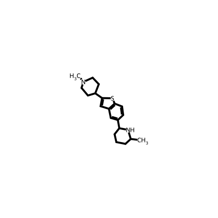 CC1CCCC(c2ccc3sc(C4CCN(C)CC4)cc3c2)N1